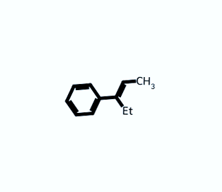 [CH2]CC(=CC)c1ccccc1